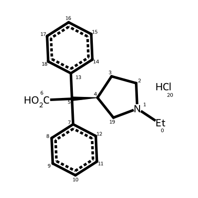 CCN1CC[C@H](C(C(=O)O)(c2ccccc2)c2ccccc2)C1.Cl